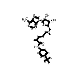 CC(CCCN(C)C[C@H]1O[C@@H](n2cnc3c(N)ncnc32)[C@H](O)[C@@H]1O)C(=O)Nc1ccc(C(C)(C)C)cc1